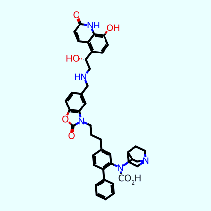 O=C(O)N(c1cc(CCCn2c(=O)oc3ccc(CNC[C@H](O)c4ccc(O)c5[nH]c(=O)ccc45)cc32)ccc1-c1ccccc1)C1CN2CCC1CC2